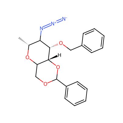 C[C@H]1OC2COC(c3ccccc3)O[C@H]2[C@@H](OCc2ccccc2)C1N=[N+]=[N-]